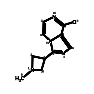 CN1CC(c2ncc3c(Cl)nccn23)C1